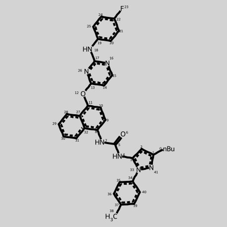 CCCCc1cc(NC(=O)Nc2ccc(Oc3ccnc(Nc4ccc(F)cc4)n3)c3ccccc23)n(-c2ccc(C)cc2)n1